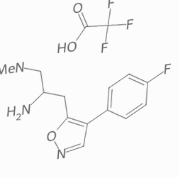 CNCC(N)Cc1oncc1-c1ccc(F)cc1.O=C(O)C(F)(F)F